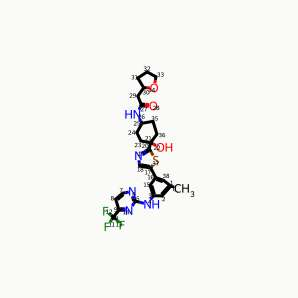 Cc1cc(Nc2nccc(C(F)(F)F)n2)cc(-c2cnc(C3(O)CCC(NC(=O)CC4CCCO4)CC3)s2)c1